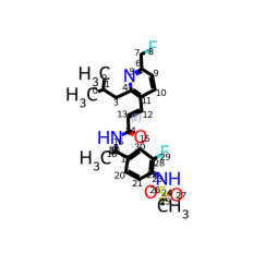 CC(C)Cc1nc(CF)ccc1/C=C/C(=O)N[C@H](C)c1ccc(NS(C)(=O)=O)c(F)c1